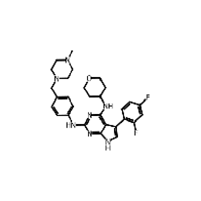 CN1CCN(Cc2ccc(Nc3nc(NC4CCOCC4)c4c(-c5ccc(F)cc5F)c[nH]c4n3)cc2)CC1